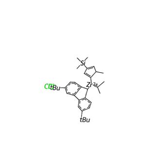 C[C](C)=[Zr+2]([C]1=CC([Si](C)(C)C)=CC1C)[CH]1c2ccc(C(C)(C)C)cc2-c2cc(C(C)(C)C)ccc21.[Cl-].[Cl-]